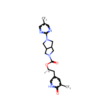 C[C@@H](Cc1c[nH]c(=O)c(C(F)(F)F)c1)OC(=O)N1CC2CN(c3ncc(C(F)(F)F)cn3)CC2C1